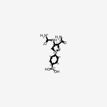 NC(=O)Nc1cn(-c2ccc(B(O)O)cc2)nc1C(N)=O